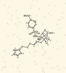 COc1ccc(S(=O)(=O)N[C@@H]2[C@@H](CC=CCCCc3nnn[nH]3)C[C@H]3C[C@H]2C3(C)C)cc1